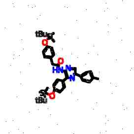 Cc1ccc(-c2cnc(NC(=O)Cc3ccc(O[Si](C)(C)C(C)(C)C)cc3)c(-c3ccc(O[Si](C)(C)C(C)(C)C)cc3)n2)cc1